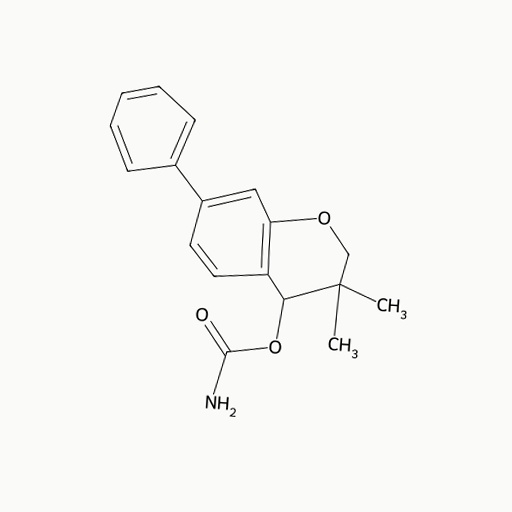 CC1(C)COc2cc(-c3ccccc3)ccc2C1OC(N)=O